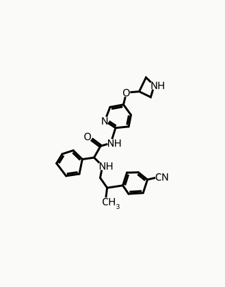 CC(CNC(C(=O)Nc1ccc(OC2CNC2)cn1)c1ccccc1)c1ccc(C#N)cc1